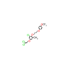 Cc1cc(OCC=C(Cl)Cl)cc(Cl)c1OCCCCOc1ccc(OC(F)(F)F)cc1